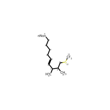 CCCCCCCCCCCCC/C=C/C(C)C(C)CSC(F)(F)F